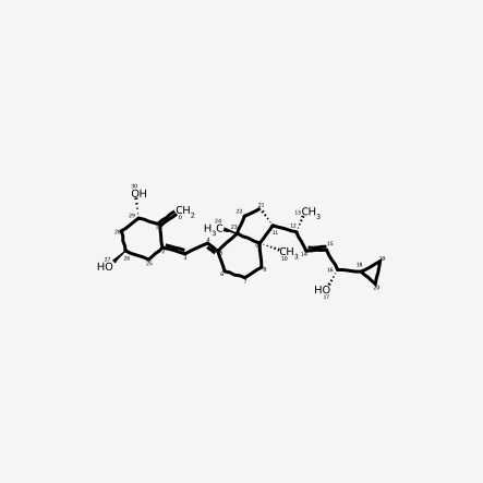 C=C1/C(=C\C=C2/CCC[C@]3(C)[C@@H]([C@H](C)/C=C/[C@@H](O)C4CC4)CC[C@@]23C)C[C@@H](O)C[C@@H]1O